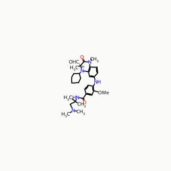 COc1cc(C(=O)NC(C)(C)CN(C)C)ccc1Nc1ccc2c(c1)N(C1CCCCC1)[C@](C)(C=O)C(=O)N2C